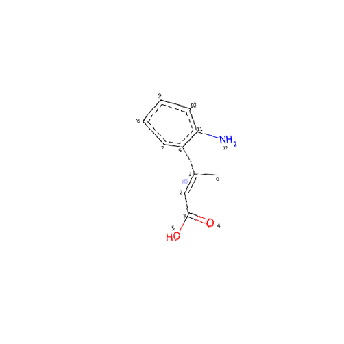 C/C(=C\C(=O)O)c1ccccc1N